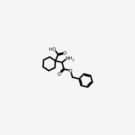 NC(C(=O)OCc1ccccc1)C1(C(=O)O)CCCCC1